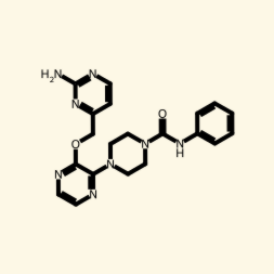 Nc1nccc(COc2nccnc2N2CCN(C(=O)Nc3ccccc3)CC2)n1